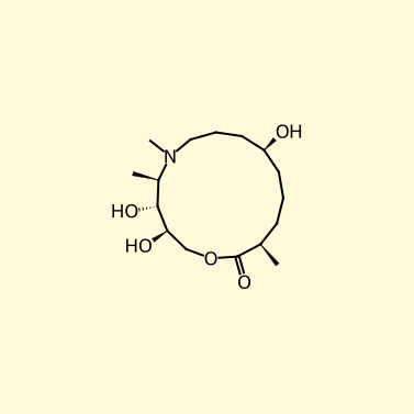 C[C@@H]1CCC[C@H](O)CCCN(C)[C@H](C)[C@@H](O)[C@H](O)COC1=O